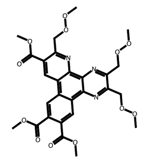 COOCc1nc2c(cc1C(=O)OC)c1cc(C(=O)OC)c(C(=O)OC)cc1c1nc(COOC)c(COOC)nc21